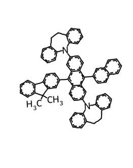 CC1(C)c2ccccc2-c2ccc(-c3c4ccc(N5c6ccccc6CCc6ccccc65)cc4c(-c4ccc5ccccc5c4)c4ccc(N5c6ccccc6CCc6ccccc65)cc34)cc21